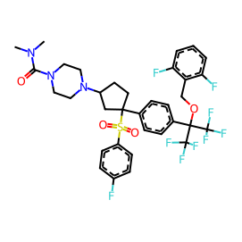 CN(C)C(=O)N1CCN(C2CCC(c3ccc(C(OCc4c(F)cccc4F)(C(F)(F)F)C(F)(F)F)cc3)(S(=O)(=O)c3ccc(F)cc3)C2)CC1